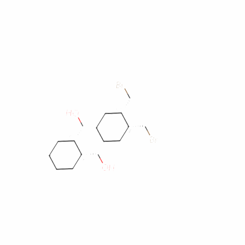 BrC[C@@H]1CCCC[C@@H]1CBr.OC[C@@H]1CCCC[C@@H]1CO